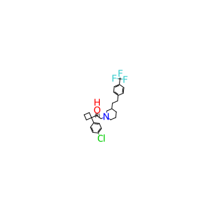 O[C@@H](CN1CCCC(CCc2ccc(C(F)(F)F)cc2)C1)C1(c2ccc(Cl)cc2)CCC1